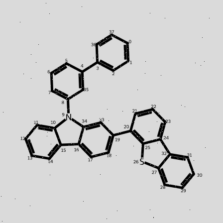 c1ccc(-c2cccc(-n3c4ccccc4c4ccc(-c5cccc6c5sc5ccccc56)cc43)c2)cc1